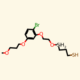 COCCCOc1ccc(Br)c(OCCO[SiH2]CCCS)c1